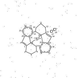 C1=C2CCCC[C]2([Ti+2][C]23CCCCC2=Cc2ccccc23)c2ccccc21.[Cl-].[Cl-]